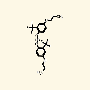 CCCOc1ccc(OBOc2ccc(OCCC)cc2C(F)(F)F)c(C(F)(F)F)c1